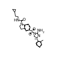 Cc1ccccc1[C@H]1CN(S(=O)(=O)c2ccc3c(c2)CCN3C(=O)NCCC2CC2)C(N)=N1